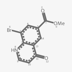 COC(=O)c1cc(Br)c2[nH]ccc(=O)c2c1